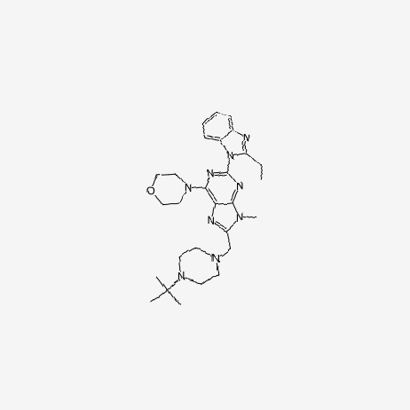 CCc1nc2ccccc2n1-c1nc(N2CCOCC2)c2nc(CN3CCN(C(C)(C)C)CC3)n(C)c2n1